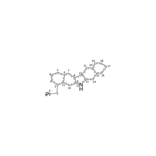 CC(C)Cc1cccc2cc3c(cc12)[nH]c1cc2ccccc2cc13